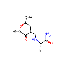 CC[C@H](NCC(CC(=O)OC)C(=O)OC)C(N)=O